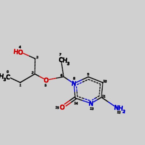 CCC(CO)OC(C)n1ccc(N)nc1=O